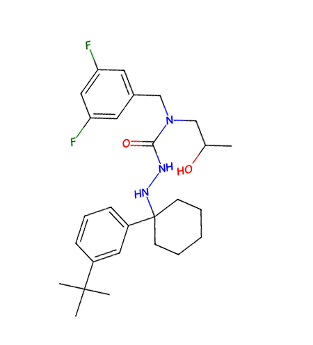 CC(O)CN(Cc1cc(F)cc(F)c1)C(=O)NNC1(c2cccc(C(C)(C)C)c2)CCCCC1